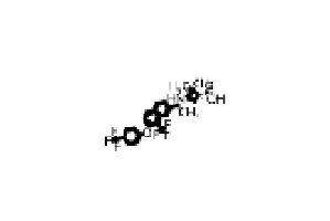 CC(N[C@H]1C[C@@H](C(=O)O)C1(C)C)c1ccc2ccc(OC3CCC(C(F)(F)F)CC3)c(C(F)(F)F)c2c1